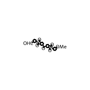 COc1cccc(N2C(=O)c3ccc(C(=O)c4ccc5c(c4)C(=O)N(c4cccc(C=O)c4)C5=O)cc3C2=O)c1